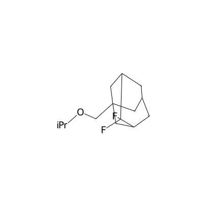 CC(C)OCC12CC3CC(C1)C(F)(F)C(C3)C2